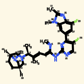 C=N/C(=C\C=C(/C)[C@H](C)N1C[C@H]2CC[C@@H](C1)N(CC)C2)Nc1ncc(F)c(-c2cc(F)c3nc(C)n(C(C)C)c3c2)n1